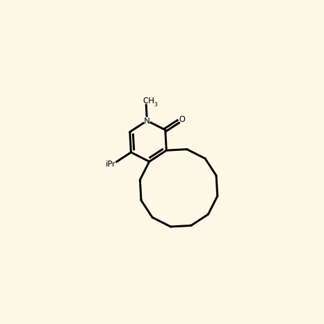 CC(C)c1cn(C)c(=O)c2c1CCCCCCCCCC2